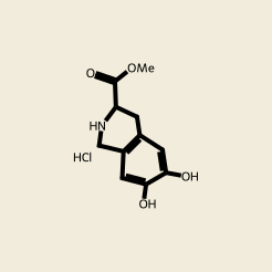 COC(=O)C1Cc2cc(O)c(O)cc2CN1.Cl